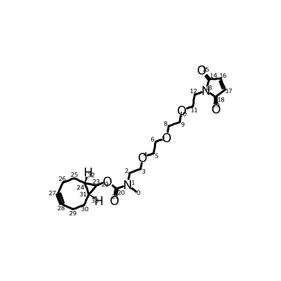 CN(CCOCCOCCOCCN1C(=O)C=CC1=O)C(=O)OC1[C@H]2CCC#CCC[C@@H]12